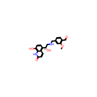 COc1cc(CNC[C@H](O)c2ccc(O)c3[nH]c(=O)ccc23)ccc1C=O